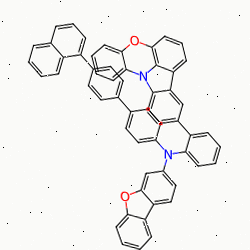 c1ccc2c(c1)Oc1cccc3c4cc(-c5ccccc5N(c5ccc(-c6ccc(-c7cccc8ccccc78)cc6)cc5)c5ccc6c(c5)oc5ccccc56)ccc4n-2c13